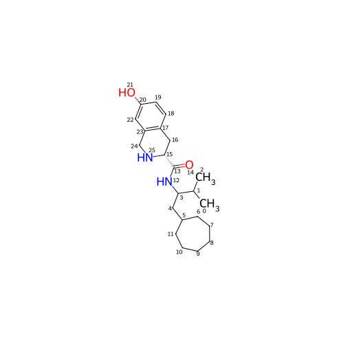 CC(C)C(CC1CCCCCC1)NC(=O)[C@H]1Cc2ccc(O)cc2CN1